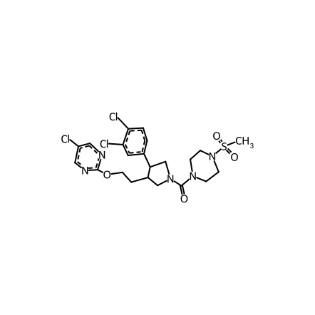 CS(=O)(=O)N1CCN(C(=O)N2CC(CCOc3ncc(Cl)cn3)C(c3ccc(Cl)c(Cl)c3)C2)CC1